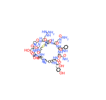 C[C@@H](O)[C@@H]1NC(=O)[C@@H]2Cn3cc(nn3)CCC[C@H](C(=O)N[C@@H](Cc3ccc(O)cc3)C(=O)O)NC(=O)[C@H](CCC(N)=O)NC(=O)[C@H](Cc3c[nH]c4ccccc34)NC(=O)[C@H](CCCNC(N)=O)NC(=O)[C@H](CSSCC(NC(=O)CN)C(=O)N2)NC(=O)[C@H](CCCNC(=N)N)NC(=O)C2CCCN2C(=O)[C@H](CC(=O)O)NC1=O